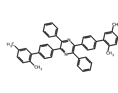 Cc1ccc(C)c(-c2ccc(-c3nc(-c4ccccc4)c(-c4ccc(-c5cc(C)ccc5C)cc4)nc3-c3ccccc3)cc2)c1